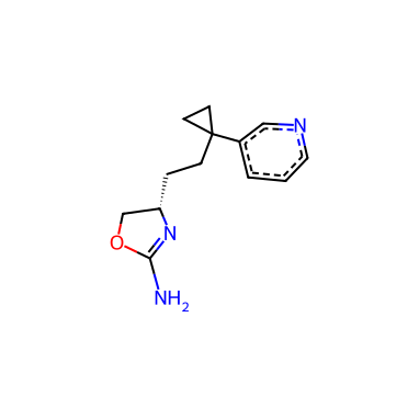 NC1=N[C@@H](CCC2(c3cccnc3)CC2)CO1